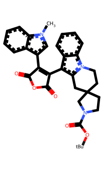 Cn1cc(C2=C(c3c4n(c5ccccc35)CCC3(CCN(C(=O)OC(C)(C)C)C3)C4)C(=O)OC2=O)c2ccccc21